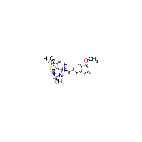 COc1cccc(CCCNc2nc(C)nc3sc(C)cc23)c1